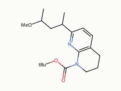 COC(C)CC(C)c1ccc2c(n1)N(C(=O)OC(C)(C)C)CCC2